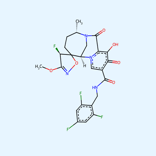 COC1=NOC2(CC[C@H](C)N3C[C@H]2n2cc(C(=O)NCc4c(F)cc(F)cc4F)c(=O)c(O)c2C3=O)[C@@H]1F